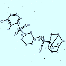 Cc1c(Cl)cccc1S(=O)(=O)N1CCCC(NC(=O)C23CC4CC(CC(C4)C2)C3)C1